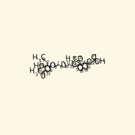 CCCc1c(OCCCOCCCOc2ccc3ccc(OCC(=O)O)cc3c2C(C)=O)ccc(C(C)=O)c1O